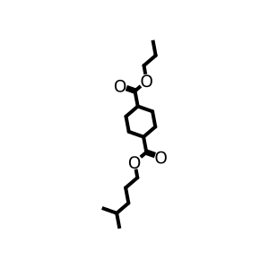 CCCOC(=O)C1CCC(C(=O)OCCCC(C)C)CC1